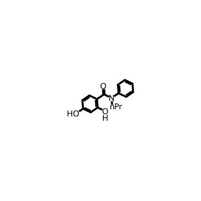 CCCN(C(=O)c1ccc(O)cc1O)c1ccccc1